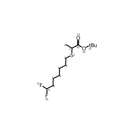 CC(SCCCCCCC(F)F)C(=O)OC(C)(C)C